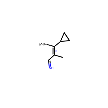 CN/C(=C(/C)C=N)C1CC1